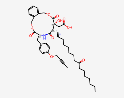 CC#CCOc1ccc(C[C@@H]2NC(=O)[C@@H](/C=C/CCCCCCC(=O)CCCCCCC)[C@@](O)(CC(=O)O)C(=O)OCc3ccccc3COC2=O)cc1